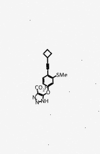 CSc1cc(Oc2[nH]nnc2C(=O)O)ccc1C#CC1CCC1